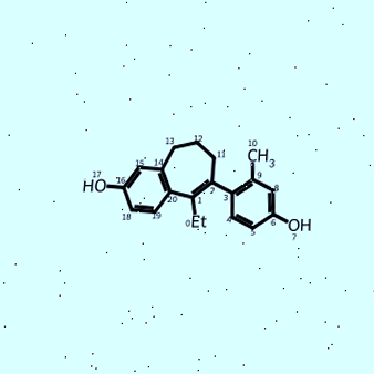 CCC1=C(c2ccc(O)cc2C)CCCc2cc(O)ccc21